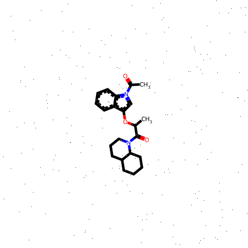 CC(=O)n1cc(OC(C)C(=O)N2CCCC3CCCCC32)c2ccccc21